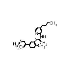 C=C(Nc1cc(CCCC)ccn1)Sc1cc(C(/C=N\C)=C/C)ccc1C